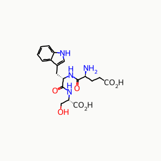 N[C@@H](CCC(=O)O)C(=O)N[C@@H](Cc1c[nH]c2ccccc12)C(=O)N[C@@H](CO)C(=O)O